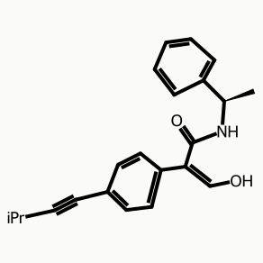 CC(C)C#Cc1ccc(C(=CO)C(=O)N[C@H](C)c2ccccc2)cc1